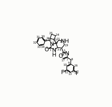 O=C1NC2C(c3nc(Cc4cc(F)cc(F)c4)co3)CNCC2(C2CCC2)N1Cc1ccccc1